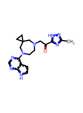 Cc1n[nH]c(C(=O)CN2CCN(c3ncnc4[nH]ccc34)CC3(CC3)C2)n1